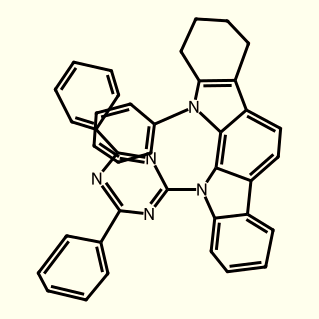 c1ccc(-c2nc(-c3ccccc3)nc(-n3c4ccccc4c4ccc5c6c(n(-c7ccccc7)c5c43)CCCC6)n2)cc1